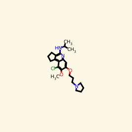 COc1c(OCCCN2CCCC2)cc2nc(NC(C)C)c3c(c2c1Cl)CCC3